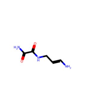 NC=CCNC(=O)C(N)=O